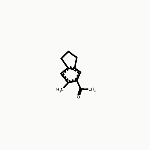 CC(=O)c1cc2c(cc1C)CCC2